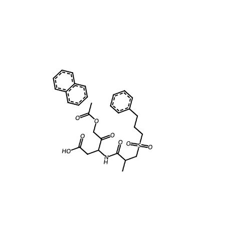 CC(=O)OCC(=O)C(CC(=O)O)NC(=O)C(C)CS(=O)(=O)CCCc1ccccc1.c1ccc2ccccc2c1